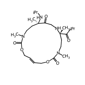 CC(C)N[C@]1(C)CCN(C)C(=O)OC/C=C/COC(=O)N(C)CC[C@@](C)(C(=O)C(C)C)NCC1=O